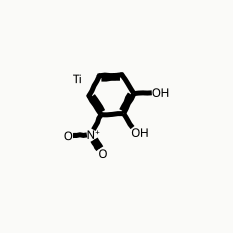 O=[N+]([O-])c1cccc(O)c1O.[Ti]